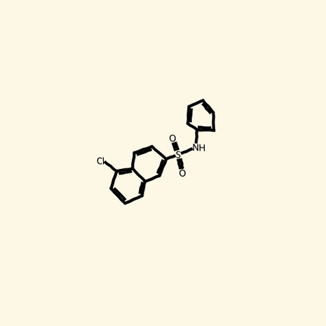 O=S(=O)(Nc1ccccc1)c1ccc2c(Cl)cccc2c1